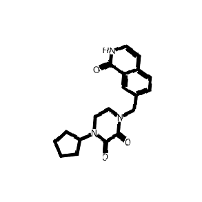 O=C1C(=O)N(C2CCCC2)CCN1Cc1ccc2cc[nH]c(=O)c2c1